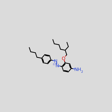 CCCCc1ccc(/N=N/c2ccc(N)cc2OCC(CC)CCCC)cc1